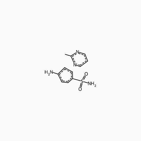 Cc1ncccn1.Nc1ccc(S(N)(=O)=O)cc1